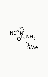 CSCCC(N)C(=O)N1CC=C[C@H]1C#N